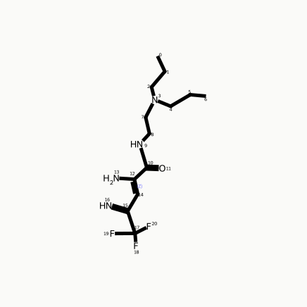 CCCN(CCC)CCNC(=O)/C(N)=C/C(=N)C(F)(F)F